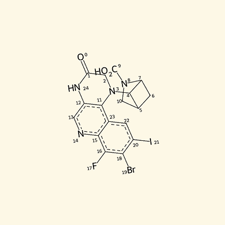 O=C1CN(C2C3CC2N(C(=O)O)C3)c2c(cnc3c(F)c(Br)c(I)cc23)N1